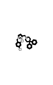 Clc1ccc(Cn2ccc(CN3CCC(c4ccccc4)(c4ccccc4)CC3)n2)c(Cl)c1